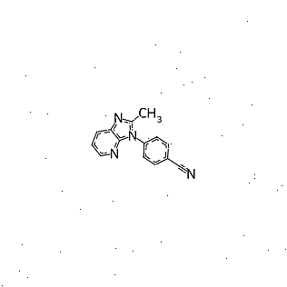 Cc1nc2cccnc2n1-c1ccc(C#N)cc1